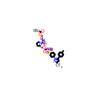 Cc1ccc(-c2cc(C(F)(F)F)nn2-c2ccc(S(=O)(=O)NC(=O)OC[C@@H]3CCCN3/[N+]([O-])=N\OCOC(=O)C(C)(C)C)cc2)cc1